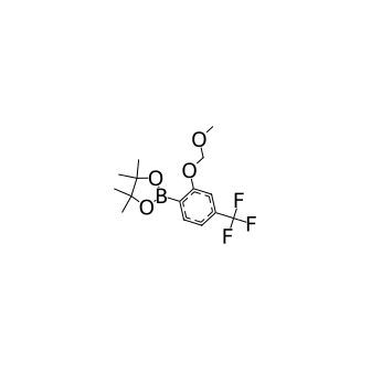 COCOc1cc(C(F)(F)F)ccc1B1OC(C)(C)C(C)(C)O1